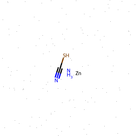 N.N#CS.[Zn]